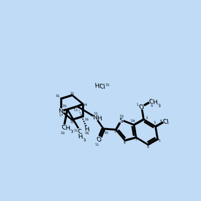 COc1c(Cl)ccc2cc(C(=O)N[C@@H]3C4CCN(CC4)C3(C)C)sc12.Cl